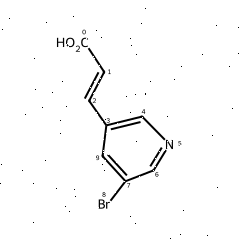 O=C(O)C=Cc1cncc(Br)c1